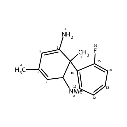 CNC1C=C(C)C=C(N)C1(C)c1ccccc1F